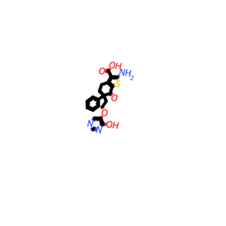 Nc1sc2c(c1C(=O)O)CCC(CCOc1cncnc1O)(c1ccccc1)C2=O